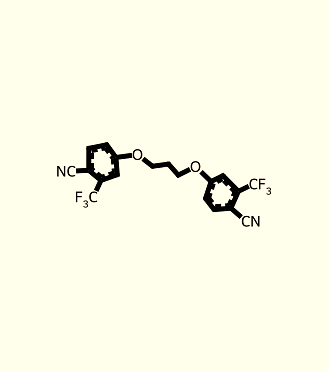 N#Cc1ccc(OCCCOc2ccc(C#N)c(C(F)(F)F)c2)cc1C(F)(F)F